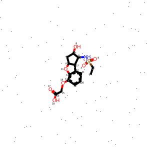 CCS(=O)(=O)NC1C(O)CC2Oc3c(OCC(=O)O)cccc3C21